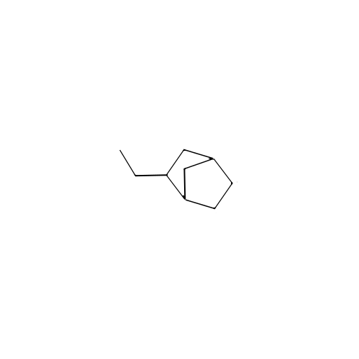 CCC1C[C]2CCC1C2